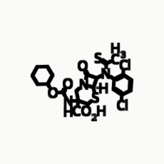 CC(=S)N(c1cc(Cl)ccc1Cl)C1C(=O)N2CC(NC(=O)OC3CCCCC3)(C(=O)O)CS[C@H]12